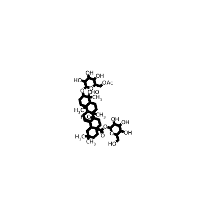 CC(=O)OCC1OC(OC2CCC3(C)C(CCC4(C)C3CC=C3C5CC(C)(C)CCC5(C(=O)OC5OC(CO)C(O)C(O)C5O)CCC34C)C2(C)C=O)C(O)C(O)C1O